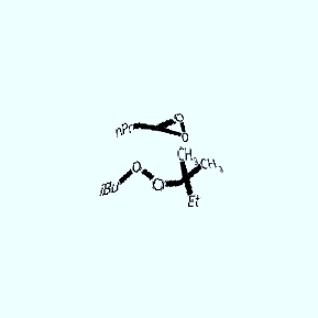 CCC(C)OOC(C)(C)CC.CCCC1OO1